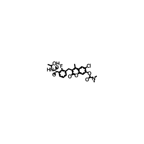 Cc1c(Cc2cccc(S(=O)(=O)NC(C)O)c2F)c(=O)oc2cc(OC(=O)N(C)C)c(Cl)cc12